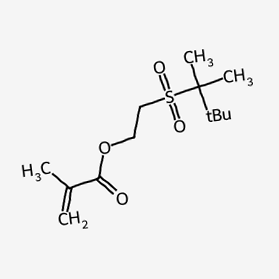 C=C(C)C(=O)OCCS(=O)(=O)C(C)(C)C(C)(C)C